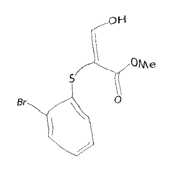 COC(=O)C(=CO)Sc1ccccc1Br